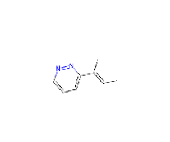 C/C=C(\C)c1cccnn1